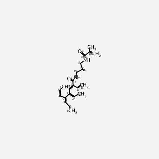 C=CC=C(/C=C\C)C(/C=C(\C=C)C(=O)NCCCNC(=O)C(=C)C)=C/C